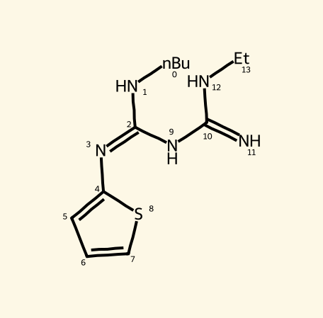 CCCCNC(=Nc1cccs1)NC(=N)NCC